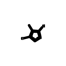 Cc1c(Cl)csc1Cl